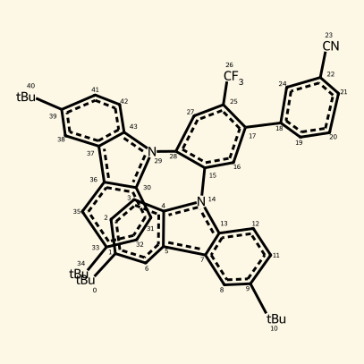 CC(C)(C)c1ccc2c(c1)c1cc(C(C)(C)C)ccc1n2-c1cc(-c2cccc(C#N)c2)c(C(F)(F)F)cc1-n1c2ccc(C(C)(C)C)cc2c2cc(C(C)(C)C)ccc21